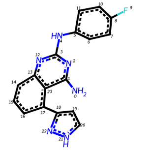 Nc1nc(Nc2ccc(F)cc2)nc2cccc(-c3cc[nH]n3)c12